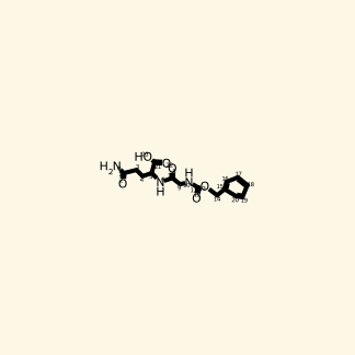 NC(=O)CCC(NC(=O)CNC(=O)OCc1ccccc1)C(=O)O